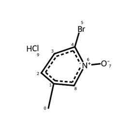 Cc1ccc(Br)[n+]([O-])c1.Cl